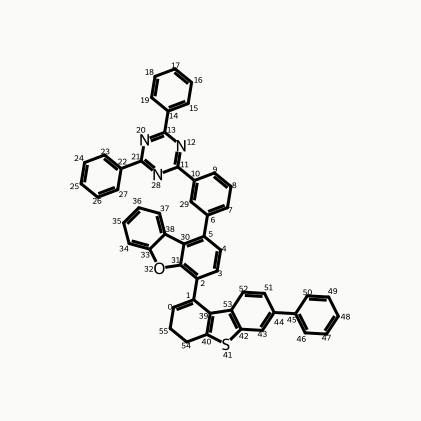 C1=C(c2ccc(-c3cccc(-c4nc(-c5ccccc5)nc(-c5ccccc5)n4)c3)c3c2oc2ccccc23)c2c(sc3cc(-c4ccccc4)ccc23)CC1